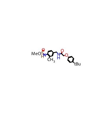 CO[SH](=O)=Nc1ccc(CNC(=O)COc2ccc(C(C)(C)C)cc2)cc1C